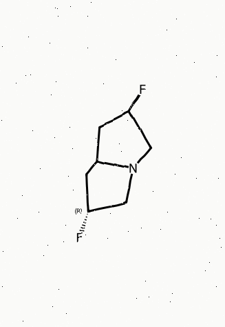 FC1CC2C[C@@H](F)CN2C1